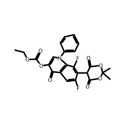 CCOC(=O)Oc1cn(-c2ccccc2)c2c(F)c(C3C(=O)OC(C)(C)OC3=O)c(F)cc2c1=O